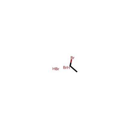 Br.Br.CCBr